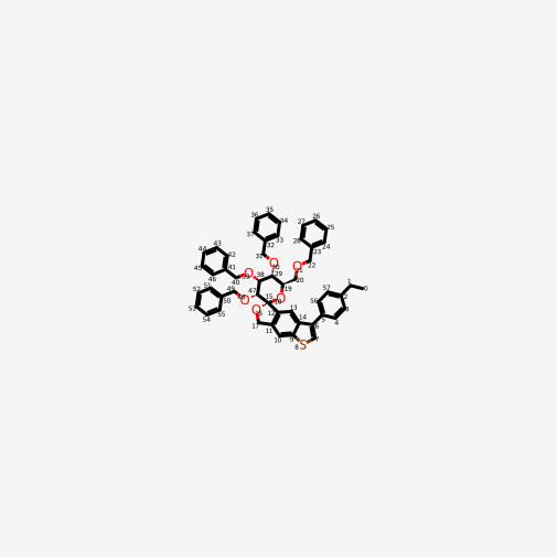 CCc1ccc(-c2csc3cc4c(cc23)[C@]2(OC4)O[C@H](COCc3ccccc3)[C@@H](OCc3ccccc3)[C@H](OCc3ccccc3)[C@H]2OCc2ccccc2)cc1